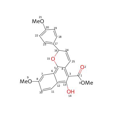 COC(=O)c1c2c(c3cc(OC)ccc3c1O)OC(c1ccc(OC)cc1)C=C2